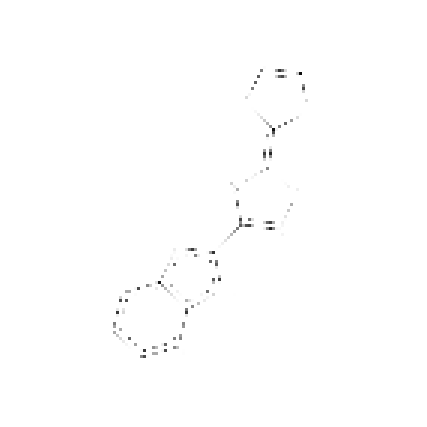 C1=CSC(=C2SC=C(c3cc4ccccc4s3)S2)S1